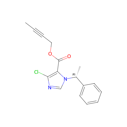 CC#CCOC(=O)c1c(Cl)ncn1[C@H](C)c1ccccc1